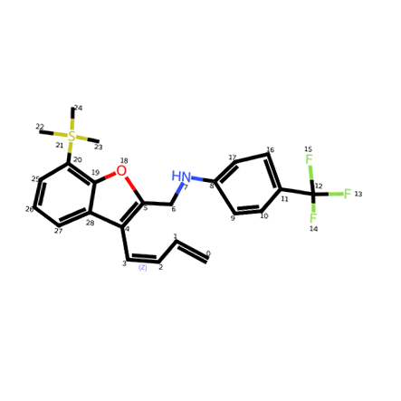 C=C/C=C\c1c(CNc2ccc(C(F)(F)F)cc2)oc2c(S(C)(C)C)cccc12